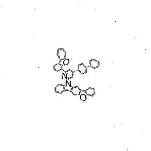 c1ccc(-c2ccc(-c3cc(-c4cccc5c4oc4ccccc45)nc(-n4c5ccccc5c5cc6oc7ccccc7c6cc54)c3)cc2)cc1